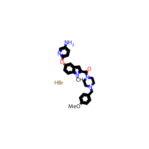 Br.COc1ccc(CN2CCN(C(=O)c3cc4cc(Oc5ccc(N)cn5)ccc4n3C)CC2)cc1